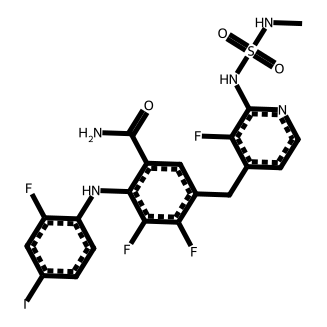 CNS(=O)(=O)Nc1nccc(Cc2cc(C(N)=O)c(Nc3ccc(I)cc3F)c(F)c2F)c1F